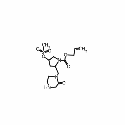 C=CCOC(=O)N1CC(OS(C)(=O)=O)CC1CN1CCNCC1=O